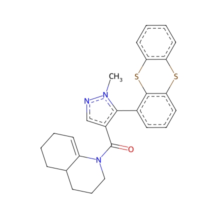 Cn1ncc(C(=O)N2CCCC3CCCC=C32)c1-c1cccc2c1Sc1ccccc1S2